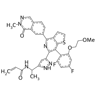 C=CC(=O)NC(C)c1cc(-c2nc(-c3ccc4cnn(C)c(=O)c4c3)c3ccsc3c2-c2c(F)cc(F)cc2OCCOC)n[nH]1